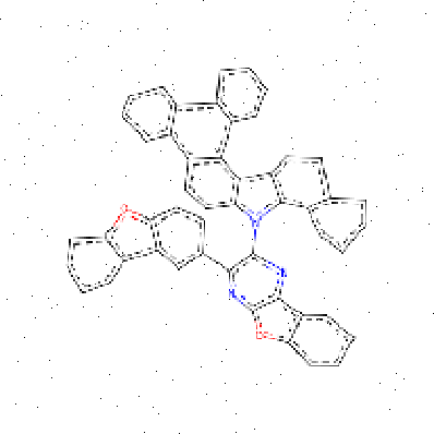 c1ccc2c(c1)ccc1c3c4c5ccccc5c5ccccc5c4ccc3n(-c3nc4c(nc3-c3ccc5oc6ccccc6c5c3)oc3ccccc34)c21